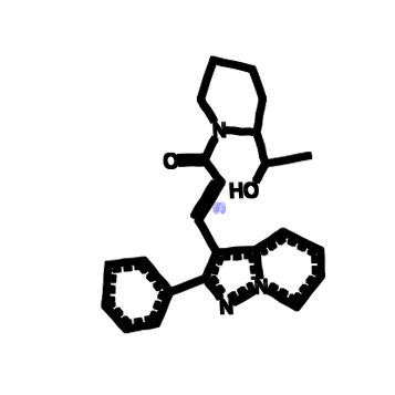 CC(O)C1CCCCN1C(=O)/C=C/c1c(-c2ccccc2)nn2ccccc12